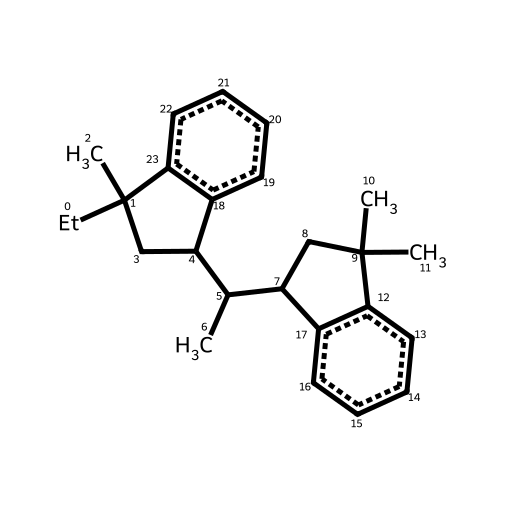 CCC1(C)CC(C(C)C2CC(C)(C)c3ccccc32)c2ccccc21